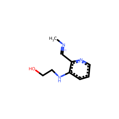 C/N=C/c1ncccc1NCCO